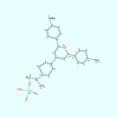 COc1ccc(-c2cc(-c3ccc(N(C)C)cc3)cc(-c3ccc(C)cc3)[o+]2)cc1.[O-][Cl+3]([O-])([O-])[O-]